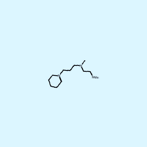 CNCCN(C)CCCN1CCCCC1